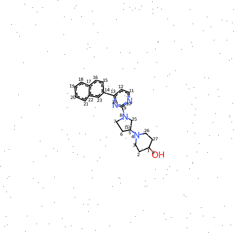 OC1CCN([C@H]2CCN(c3nccc(-c4ccc5ccccc5c4)n3)C2)CC1